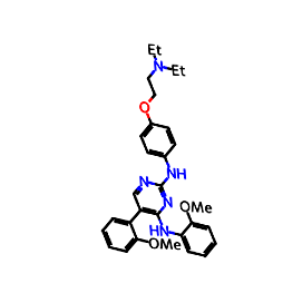 CCN(CC)CCOc1ccc(Nc2ncc(-c3ccccc3OC)c(Nc3ccccc3OC)n2)cc1